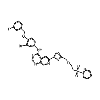 O=S(=O)(CCOCc1nc(-c2cc3c(Nc4ccc(OCc5cccc(F)c5)c(Br)c4)ncnc3cn2)cs1)c1ccccn1